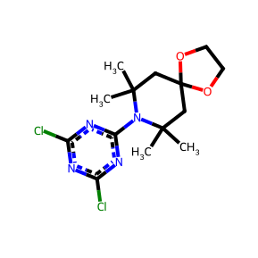 CC1(C)CC2(CC(C)(C)N1c1nc(Cl)nc(Cl)n1)OCCO2